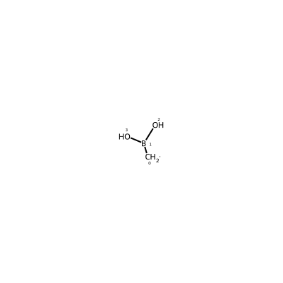 [CH2]B(O)O